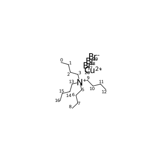 CCCC[N+](CCCC)(CCCC)CCCC.[Br-].[Br-].[Br-].[Cu+2]